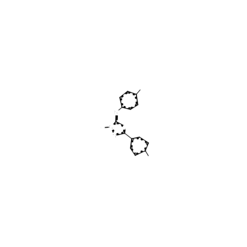 Cn1nc(-c2ccc(Cl)cc2)sc1=Nc1ccc(F)cc1